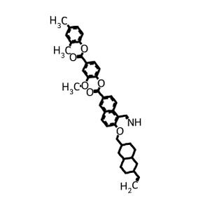 C=CC1CCC2CC(COc3ccc4cc(C(=O)Oc5ccc(C(=O)Oc6ccc(C)cc6C)cc5OC)ccc4c3C=N)CCC2C1